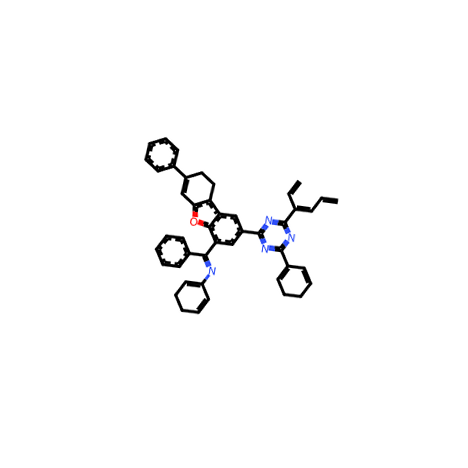 C=C/C=C(\C=C)c1nc(C2=CCCC=C2)nc(-c2cc(/C(=N/C3=CCCC=C3)c3ccccc3)c3oc4c(c3c2)CCC(c2ccccc2)=C4)n1